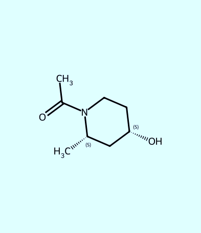 CC(=O)N1CC[C@H](O)C[C@@H]1C